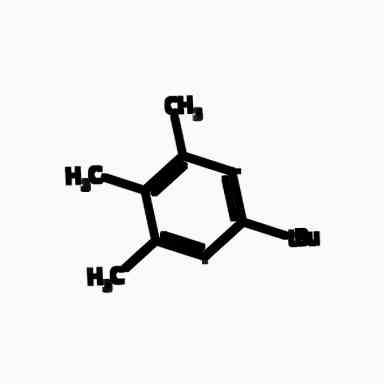 Cc1[c]c(C(C)(C)C)[c]c(C)c1C